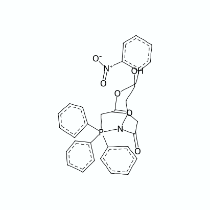 O=C(CP(c1ccccc1)(c1ccccc1)(c1ccccc1)N1C(=O)CC1CCO)OCc1ccccc1[N+](=O)[O-]